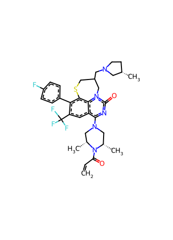 C=CC(=O)N1[C@H](C)CN(c2nc(=O)n3c4c(c(-c5ccc(F)cc5)c(C(F)(F)F)cc24)SCC(CN2CC[C@H](C)C2)C3)C[C@@H]1C